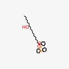 CCCCCCC(O)CCCCCCCCCCC(=O)O[PH](c1ccccc1)(c1ccccc1)c1ccccc1